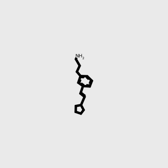 NCCCc1cccc(/C=C/C2CCCC2)c1